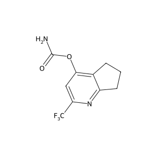 NC(=O)Oc1cc(C(F)(F)F)nc2c1CCC2